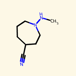 CNN1CCCC(C#N)CC1